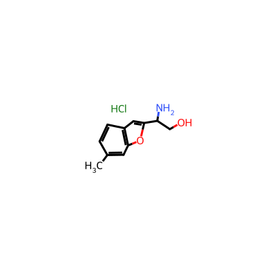 Cc1ccc2cc(C(N)CO)oc2c1.Cl